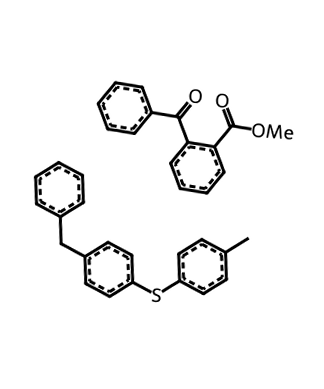 COC(=O)c1ccccc1C(=O)c1ccccc1.Cc1ccc(Sc2ccc(Cc3ccccc3)cc2)cc1